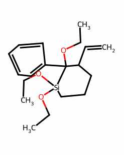 C=CC1CCC[Si](OCC)(OCC)C1(OCC)c1ccccc1